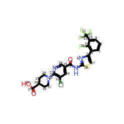 O=C(Nc1nc(-c2cccc(C(F)(F)F)c2F)cs1)c1cnc(N2CCC(C(=O)O)CC2)c(Cl)c1